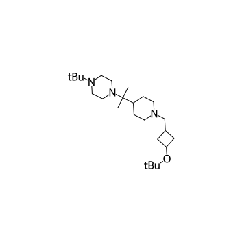 CC(C)(C)OC1CC(CN2CCC(C(C)(C)N3CCN(C(C)(C)C)CC3)CC2)C1